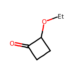 CCOC1CCC1=O